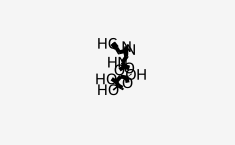 C#CCC1(CNC(=O)OC2C(O)[C@H](O)CO[C@H]2O)N=N1